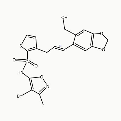 Cc1noc(NS(=O)(=O)c2sccc2C/C=C/c2cc3c(cc2CO)OCO3)c1Br